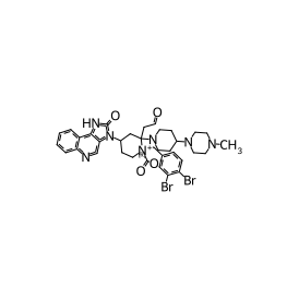 CN1CCN(C2CCN(C3(CC=O)CC(n4c(=O)[nH]c5c6ccccc6ncc54)CC[N@+]3(Cc3ccc(Br)c(Br)c3)C(=O)[O-])CC2)CC1